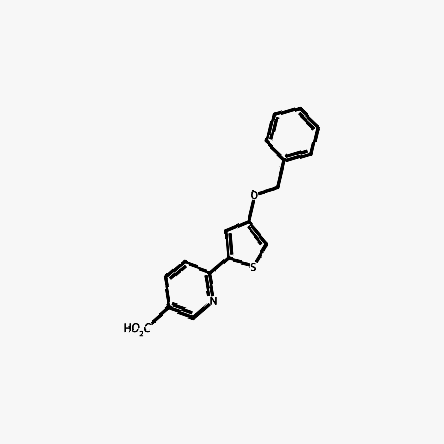 O=C(O)c1ccc(-c2cc(OCc3ccccc3)cs2)nc1